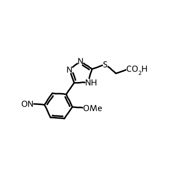 COc1ccc(N=O)cc1-c1nnc(SCC(=O)O)[nH]1